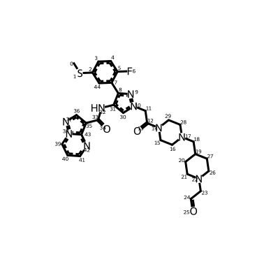 CSc1ccc(F)c(-c2nn(CC(=O)N3CCN(CC4CCN(CC=O)CC4)CC3)cc2NC(=O)c2cnn3cccnc23)c1